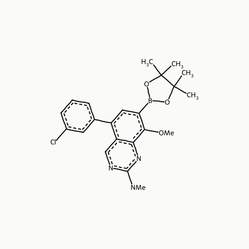 CNc1ncc2c(-c3cccc(Cl)c3)cc(B3OC(C)(C)C(C)(C)O3)c(OC)c2n1